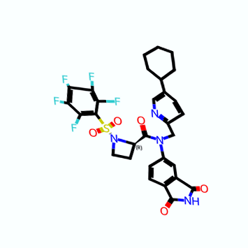 O=C1NC(=O)c2cc(N(Cc3ccc(C4CCCCC4)cn3)C(=O)[C@H]3CCN3S(=O)(=O)c3c(F)c(F)c(F)c(F)c3F)ccc21